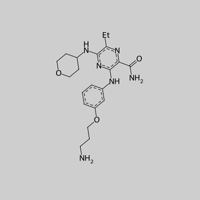 CCc1nc(C(N)=O)c(Nc2cccc(OCCCN)c2)nc1NC1CCOCC1